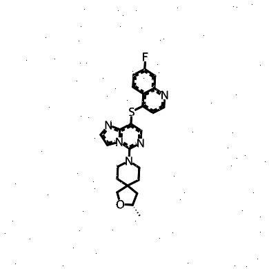 C[C@H]1CC2(CCN(c3ncc(Sc4ccnc5cc(F)ccc45)c4nccn34)CC2)CO1